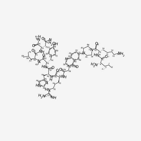 CC[C@H](C)[C@H](N)C(=O)N[C@@H](CCCCN)C(=O)N1CCN(c2ccc3ncn(CC(=O)N[C@@H](CCCNC(=N)N)C(=O)N[C@@H](Cc4c[nH]cn4)C(=O)N[C@@H](Cc4ccc(O)cc4)C(=O)N(C)[C@@H](CC(C)C)C(=O)N[C@@H](CC(N)=O)C(=O)NC)c(=O)c3c2)CC1